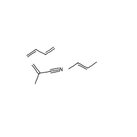 C=C(C)C#N.C=CC=C.CC=CC